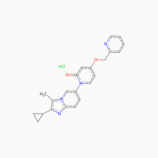 Cc1c(C2CC2)nc2ccc(-n3ccc(OCc4ccccn4)cc3=O)cn12.Cl